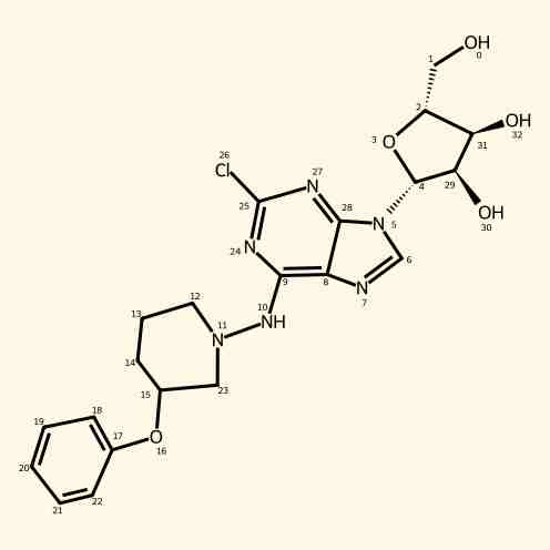 OC[C@H]1O[C@@H](n2cnc3c(NN4CCCC(Oc5ccccc5)C4)nc(Cl)nc32)[C@H](O)[C@@H]1O